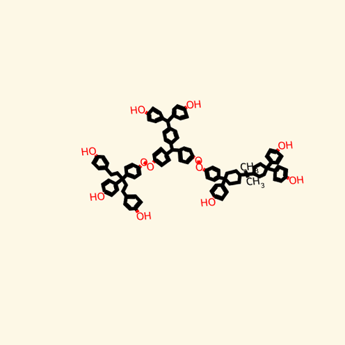 CC(C)(C1CCC(c2ccc(O)cc2)(c2ccc(O)cc2)CC1)C1CCC(c2ccc(O)cc2)(c2ccc(OOc3ccc(C(c4ccc(OOc5ccc(C(CCc6ccc(O)cc6)(CCc6ccc(O)cc6)c6ccc(O)cc6)cc5)cc4)c4ccc(C(c5ccc(O)cc5)c5ccc(O)cc5)cc4)cc3)cc2)CC1